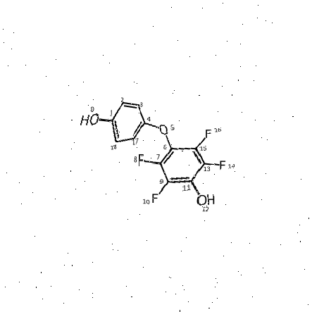 Oc1ccc(Oc2c(F)c(F)c(O)c(F)c2F)cc1